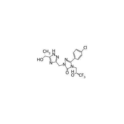 C[C@@H](O)c1nc(Cn2nc(-c3ccc(Cl)cc3)n(C[C@H](O)C(F)(F)F)c2=O)n[nH]1